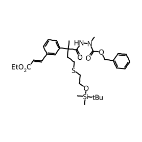 CCOC(=O)/C=C/c1cccc(C(C)(CCSCCO[Si](C)(C)C(C)(C)C)C(=O)NN(C)C(=O)OCc2ccccc2)c1